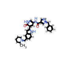 C[C@H]1CCCCN1Cc1ccc2[nH]c(-c3cc(NC(=O)c4cnn(CC5=CCCC=C5)c4)c[nH]c3=O)cc2c1